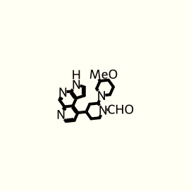 COC1CCCN(C2CC(c3ccnc4cnc5[nH]ccc5c34)CCN2C=O)C1